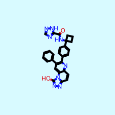 O=C(NC1(c2ccc(-c3nc4ccc5nnc(O)n5c4cc3-c3ccccc3)cc2)CCC1)c1ncn[nH]1